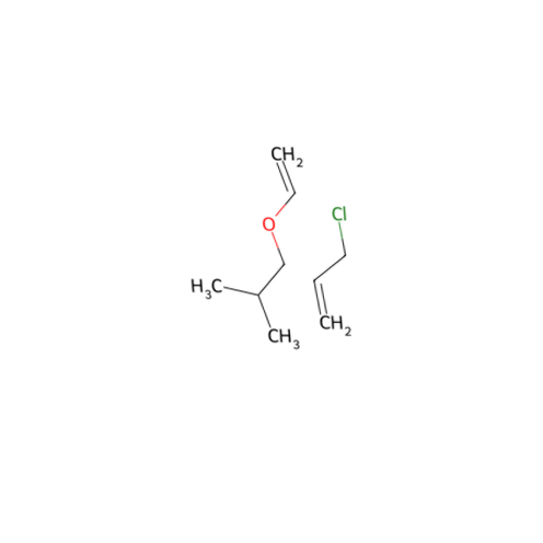 C=CCCl.C=COCC(C)C